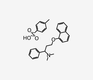 CN(C)C(CCOc1cccc2ccccc12)c1ccccc1.Cc1ccc(S(=O)(=O)O)cc1